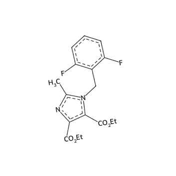 CCOC(=O)c1nc(C)n(Cc2c(F)cccc2F)c1C(=O)OCC